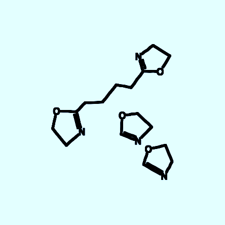 C(CCC1=NCCO1)CC1=NCCO1.C1=NCCO1.C1=NCCO1